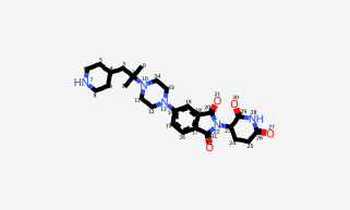 CC(C)(CC1CCNCC1)N1CCN(c2ccc3c(c2)C(=O)N(C2CCC(=O)NC2=O)C3=O)CC1